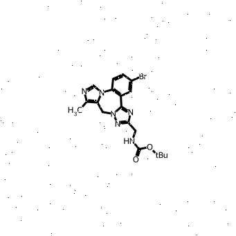 Cc1ncn2c1Cn1nc(CNC(=O)OC(C)(C)C)nc1-c1cc(Br)ccc1-2